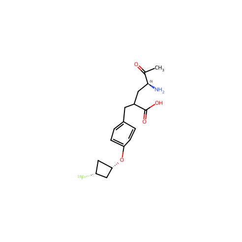 CC(=O)[C@@H](N)CC(Cc1ccc(O[C@H]2C[C@@H]([18F])C2)cc1)C(=O)O